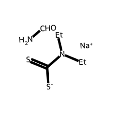 CCN(CC)C(=S)[S-].NC=O.[Na+]